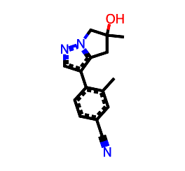 Cc1cc(C#N)ccc1-c1cnn2c1CC(C)(O)C2